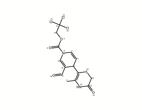 CC1=C(C2C=CN(C(=O)OCC(Cl)(Cl)Cl)C=C2C=O)SCC(=O)N1